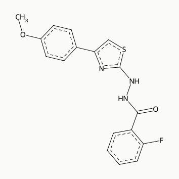 COc1ccc(-c2csc(NNC(=O)c3ccccc3F)n2)cc1